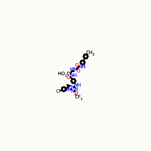 Cc1ccc(-c2ccc(NC(=O)C(=O)NCCC(NC(=O)c3ccc(Nc4nc(NC5(c6ccc(Cl)cc6)CC5)nc(OCC(F)(F)F)n4)cc3)C(=O)O)cc2)cc1